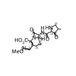 CON=CC1=C(C(=O)O)N2C(=O)[C@@H](NC(=O)C3NCCC3=O)[C@@H]2SC1